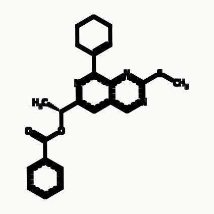 CSc1ncc2cc([C@@H](C)OC(=O)c3ccccc3)nc(C3=CCCCC3)c2n1